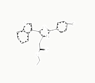 CCOC(=O)Cc1nc(-c2ccc(F)cc2)oc1-c1csc2ccccc12